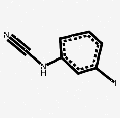 N#CNc1cccc(I)c1